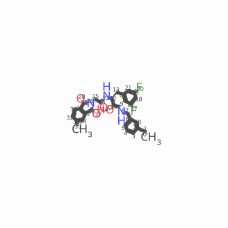 CCc1cccc(CNC[C@H](O)[C@H](Cc2cc(F)cc(F)c2)NC(=O)CN2C(=O)c3ccc(C)cc3C2=O)c1